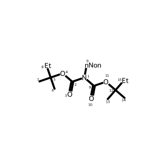 CCCCCCCCCN(C(=O)OC(C)(C)CC)C(=O)OC(C)(C)CC